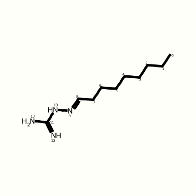 CCCCCCCCC=NNC(=N)N